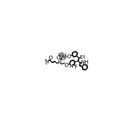 CC/C(=C(\c1cc2ccccc2[nH]1)c1ccc(OCCN(C/C=C/C(=O)N(C)C)C(=O)OC(C)(C)C)nc1F)c1cccc(OC)c1